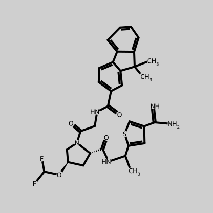 CC(NC(=O)[C@@H]1C[C@@H](OC(F)F)CN1C(=O)CNC(=O)c1ccc2c(c1)C(C)(C)c1ccccc1-2)c1cc(C(=N)N)cs1